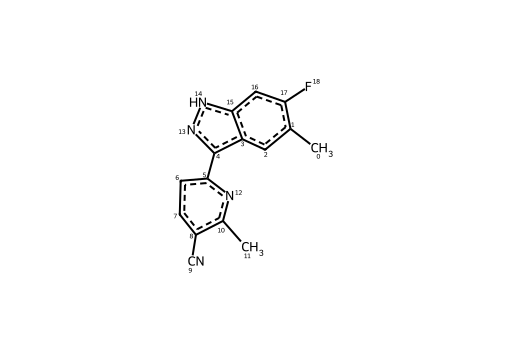 Cc1cc2c(-c3ccc(C#N)c(C)n3)n[nH]c2cc1F